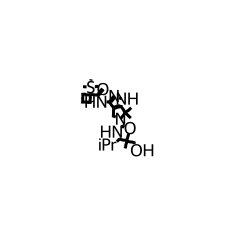 CC(C)C(NC(=O)N1Cc2c(NC(=O)C3(S(C)(C)C)CCC3)n[nH]c2C1(C)C)C(C)(C)CO